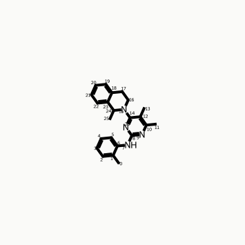 Cc1ccccc1Nc1nc(C)c(C)c(N2CCc3ccccc3C2C)n1